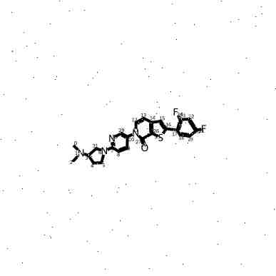 CN(C)C1CCN(c2ccc(-n3ccc4cc(-c5ccc(F)cc5F)sc4c3=O)cn2)C1